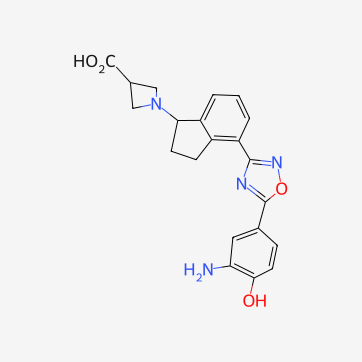 Nc1cc(-c2nc(-c3cccc4c3CCC4N3CC(C(=O)O)C3)no2)ccc1O